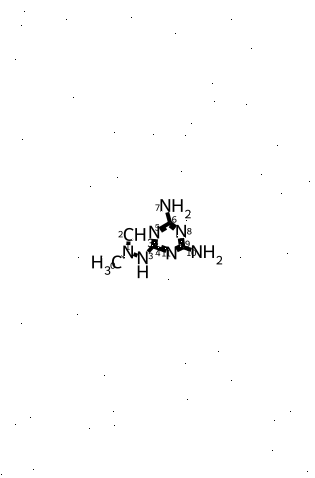 CN(C)Nc1nc(N)nc(N)n1